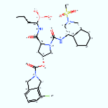 CCC[C@H](NC(=O)[C@@H]1C[C@@H](OC(=O)N2Cc3cccc(F)c3C2)CN1C(=O)N[C@H](CN(C)S(C)(=O)=O)C1CCCCC1)B(O)O